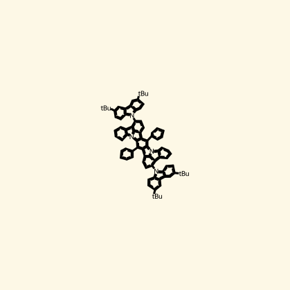 CC(C)(C)c1ccc2c(c1)c1cc(C(C)(C)C)ccc1n2-c1ccc2c3c(-c4ccccc4)c4c(c(-c5ccccc5)c3n3c5ccccc5c1c23)c1ccc(-n2c3ccc(C(C)(C)C)cc3c3cc(C(C)(C)C)ccc32)c2c3ccccc3n4c12